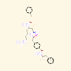 NCCCCC(NC(=O)OCc1ccccc1)C(=O)c1noc(Cc2ccc(C(=O)N[C@@H](Cc3ccccc3)C(=O)O)cc2)n1